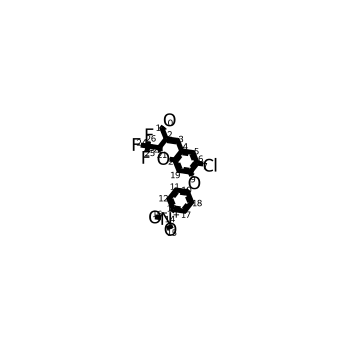 O=[C]C1=Cc2cc(Cl)c(Oc3ccc([N+](=O)[O-])cc3)cc2OC1C(F)(F)F